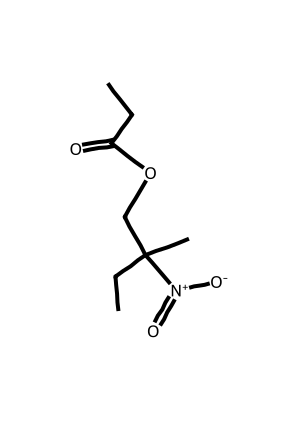 CCC(=O)OCC(C)(CC)[N+](=O)[O-]